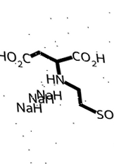 O=C(O)CC(NCCS(=O)(=O)O)C(=O)O.[NaH].[NaH].[NaH]